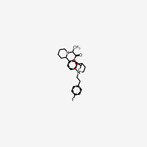 CC(C(=O)OC1C[N+]2(CCc3ccc(F)cc3)CCC1CC2)N1CCCCC1c1ccccc1